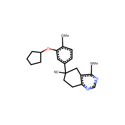 CNc1ncnc2c1CC(C#N)(c1ccc(OC)c(OC3CCCC3)c1)CC2